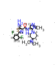 CN(C)[C@@H]1CCCN(c2c(NC(=O)c3nc(-c4c(F)cccc4F)sc3N)cnn2C)CC1